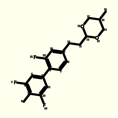 Cc1c(F)cc(-c2ccc(CCC3OCC(C)CO3)cc2F)cc1F